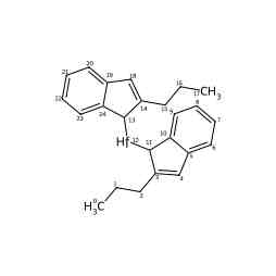 CCCC1=Cc2ccccc2[CH]1[Hf][CH]1C(CCC)=Cc2ccccc21